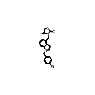 CCc1ccc(Cn2ccc3c(CN4C(=O)CSC4=O)cccc32)cc1